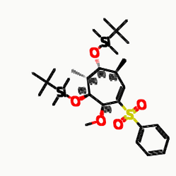 CO[C@@H]1C(S(=O)(=O)c2ccccc2)=C[C@H](C)[C@@H](O[Si](C)(C)C(C)(C)C)[C@@H](C)[C@@H]1O[Si](C)(C)C(C)(C)C